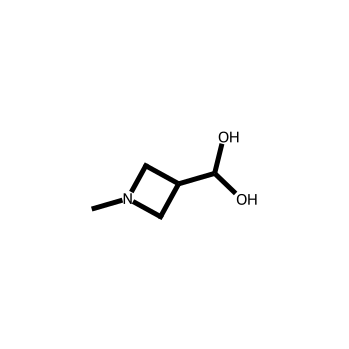 CN1CC(C(O)O)C1